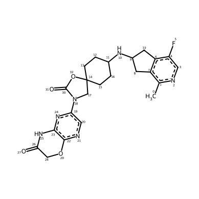 Cc1ncc(F)c2c1CC(NC1CCC3(CC1)CN(c1cnc4c(n1)NC(=O)CO4)C(=O)O3)C2